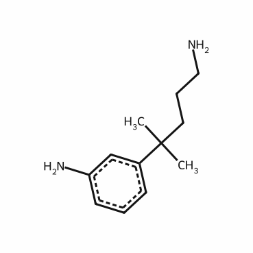 CC(C)(CCCN)c1cccc(N)c1